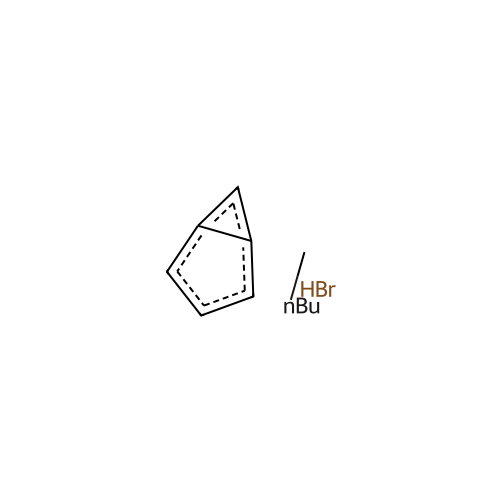 Br.CCCCC.c1cc2cc-2c1